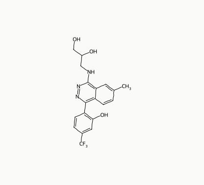 Cc1ccc2c(-c3ccc(C(F)(F)F)cc3O)nnc(NCC(O)CO)c2c1